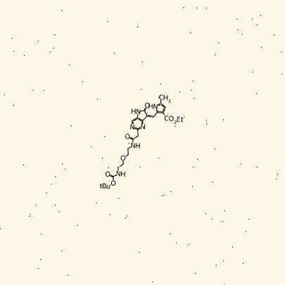 CCOC(=O)c1cc(C)[nH]c1/C=C1\C(=O)Nc2cnc(CC(=O)NCCOCCNC(=O)OC(C)(C)C)nc21